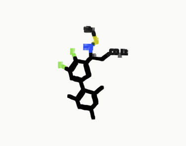 CCOC(=O)C[C@H](NSC(C)(C)C)c1cc(-c2c(C)cc(C)cc2C)cc(F)c1F